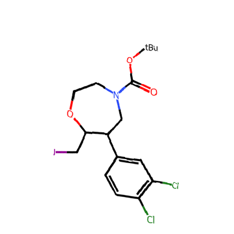 CC(C)(C)OC(=O)N1CCOC(CI)C(c2ccc(Cl)c(Cl)c2)C1